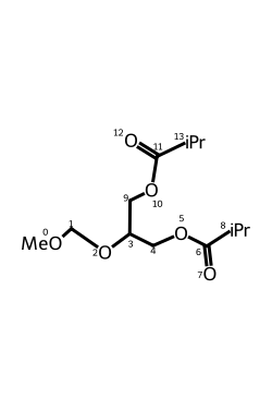 COCOC(COC(=O)C(C)C)COC(=O)C(C)C